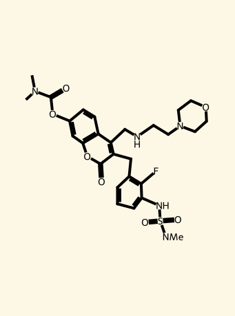 CNS(=O)(=O)Nc1cccc(Cc2c(CNCCN3CCOCC3)c3ccc(OC(=O)N(C)C)cc3oc2=O)c1F